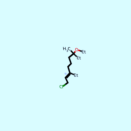 CCOC(C)(CC)CCC/C(=C/CCl)CC